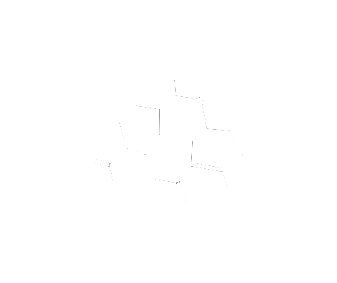 COC(=O)c1cc(NC(C)C2CCN(C(=O)O)CC2)c(Cl)cc1Cl